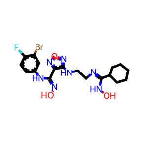 O/N=C(\Nc1ccc(F)c(Br)c1)c1nonc1NCC/N=C(\NO)C1CCCCC1